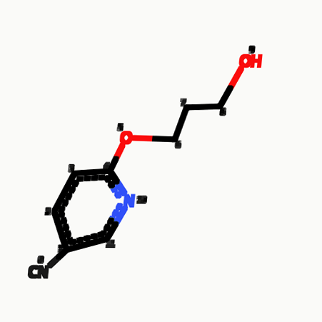 [C-]#[N+]c1ccc(OCCCO)nc1